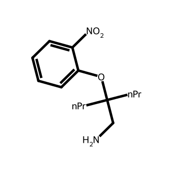 CCCC(CN)(CCC)Oc1ccccc1[N+](=O)[O-]